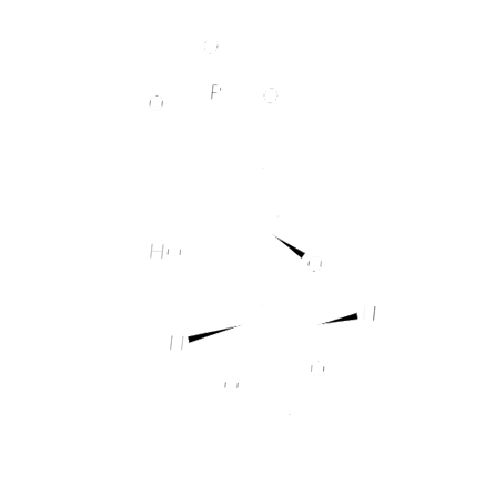 CCOP(=O)(C[C@H](C)[C@H]1O[C@@H]2OC(C)(C)O[C@@H]2[C@@H]1O)OCC